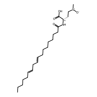 CCCCCC=CCC=CCCCCCCCC(=O)N[C@@H](CC[S+](C)[O-])C(=O)O